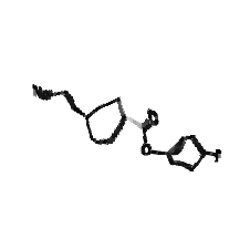 N#CC=C[C@H]1CC[C@H](C(=O)Oc2ccc(F)cc2)CC1